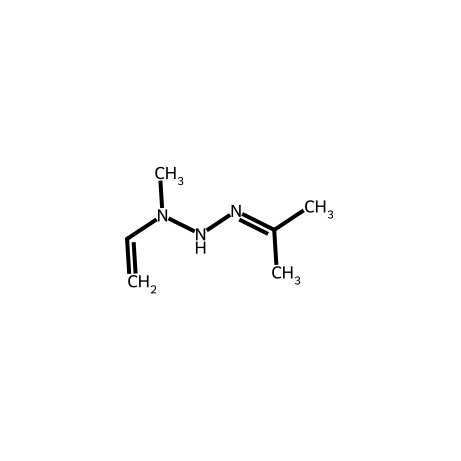 C=CN(C)NN=C(C)C